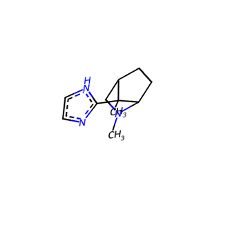 CN1CC2CCC1C2(C)c1ncc[nH]1